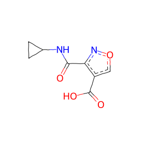 O=C(O)c1conc1C(=O)NC1CC1